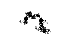 Cc1ncsc1-c1ccc(CNC(=O)C2CCCN2C(=O)C(NC(=O)COCC(F)(F)CCOc2ccc(-c3ncc(N4C(=S)N(c5ccc(C#N)c(C(F)(F)F)c5F)C(=O)C4(C)C)cc3F)c(C(F)(F)F)c2)C(C)(C)C)cc1